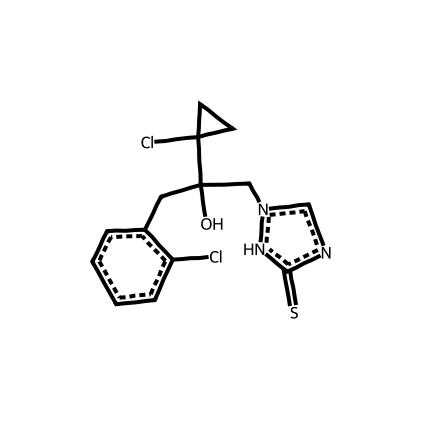 OC(Cc1ccccc1Cl)(Cn1cnc(=S)[nH]1)C1(Cl)CC1